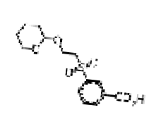 O=C(O)c1cccc(S(=O)(=O)CCOC2CCCCO2)c1